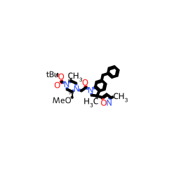 COC[C@H]1CN(C(=O)OC(C)(C)C)[C@H](C)CN1CC(=O)N1CC(C)(c2cc(C)no2)c2ccc(Cc3ccccc3)cc21